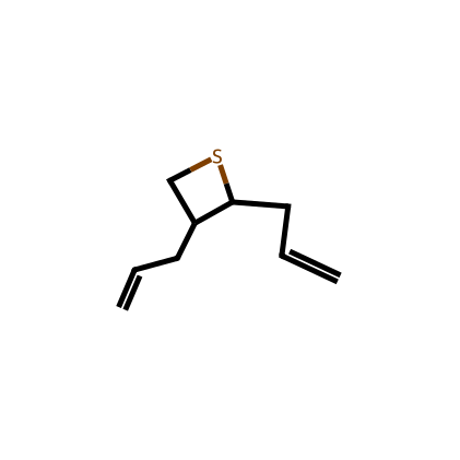 C=CCC1CSC1CC=C